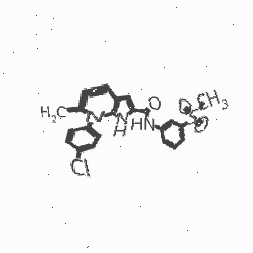 C=C1C=Cc2cc(C(=O)Nc3cccc(S(C)(=O)=O)c3)[nH]c2N1c1ccc(Cl)cc1